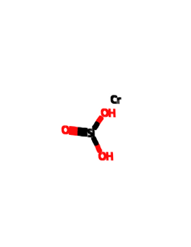 O=[Si](O)O.[Cr]